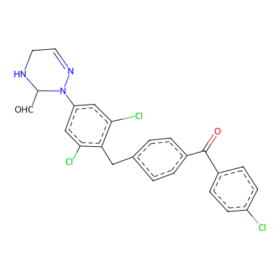 O=CC1NCC=NN1c1cc(Cl)c(Cc2ccc(C(=O)c3ccc(Cl)cc3)cc2)c(Cl)c1